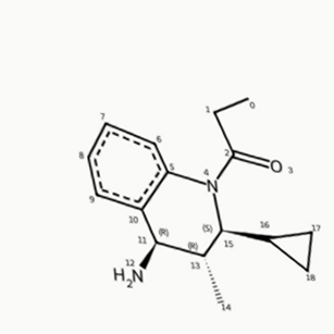 CCC(=O)N1c2ccccc2[C@H](N)[C@@H](C)[C@@H]1C1CC1